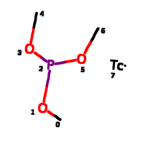 COP(OC)OC.[Tc]